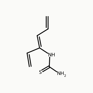 C=CC=C(C=C)NC(N)=S